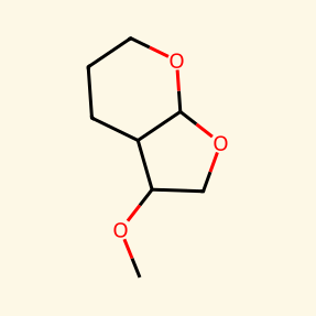 COC1COC2OCCCC12